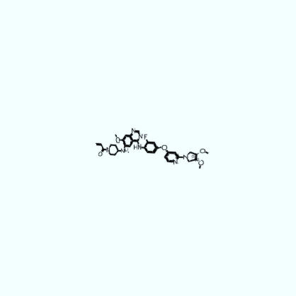 C=CC(=O)N1CCC(Nc2cc3c(Nc4ccc(Oc5ccnc(N6C[C@H](OC)[C@H](OC)C6)c5)cc4F)ncnc3cc2OC)CC1